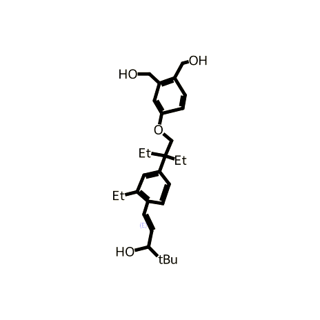 CCc1cc(C(CC)(CC)COc2ccc(CO)c(CO)c2)ccc1/C=C/C(O)C(C)(C)C